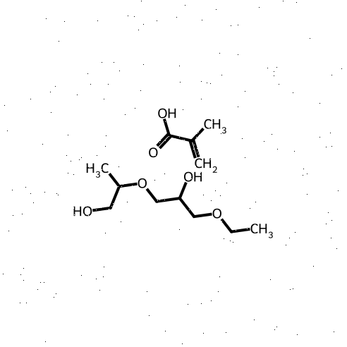 C=C(C)C(=O)O.CCOCC(O)COC(C)CO